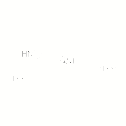 CCCCCCCCCCCCCCCCCCNC(=O)OCCCCCCOC(=O)NCCCCCCCCCCCCCCCCCC